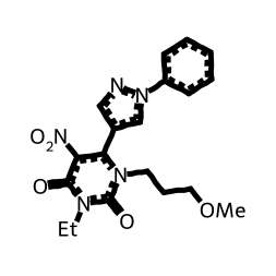 CCn1c(=O)c([N+](=O)[O-])c(-c2cnn(-c3ccccc3)c2)n(CCCOC)c1=O